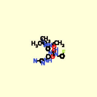 C=CC(=O)Nc1cc(N(C(=O)C(=O)NCc2cccc(F)c2)C2CCC(Nc3ccc(C#N)cn3)CC2)ccc1N1CCN(C)[C@@H](C)C1